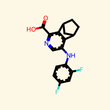 O=C(O)c1ncc(Nc2ccc(F)cc2F)c2c1C1CCC2C1